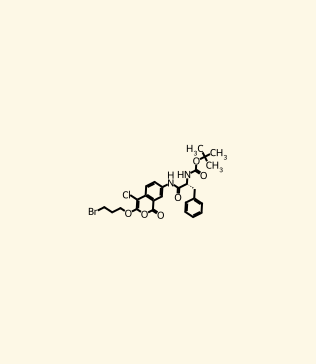 CC(C)(C)OC(=O)N[C@H](Cc1ccccc1)C(=O)Nc1ccc2c(Cl)c(OCCCBr)oc(=O)c2c1